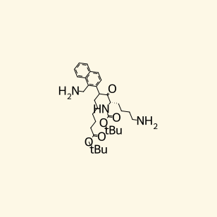 CC(C)(C)OC(=O)CCCCCC(C(=O)[C@H](CCCCN)NC(=O)OC(C)(C)C)c1ccc2ccccc2c1CN